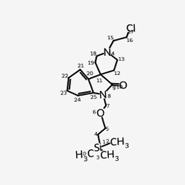 C[Si](C)(C)CCOCN1C(=O)C2(CCN(CCCl)CC2)c2ccccc21